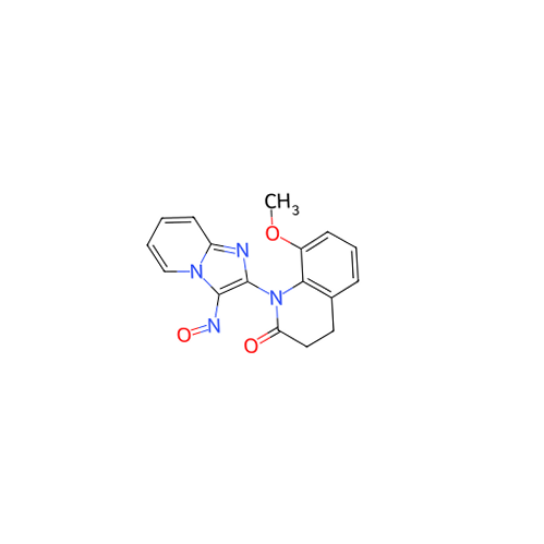 COc1cccc2c1N(c1nc3ccccn3c1N=O)C(=O)CC2